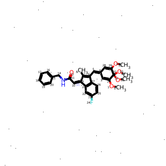 COC1=CC(=CC2=C(C)/C(=C\C(=O)NCc3ccccc3)c3cc(F)ccc32)C=C(OC)C1(OC)OC